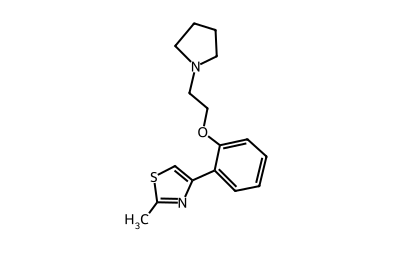 Cc1nc(-c2ccccc2OCCN2CCCC2)cs1